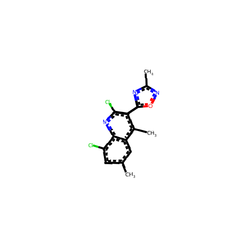 Cc1cc(Cl)c2nc(Cl)c(-c3nc(C)no3)c(C)c2c1